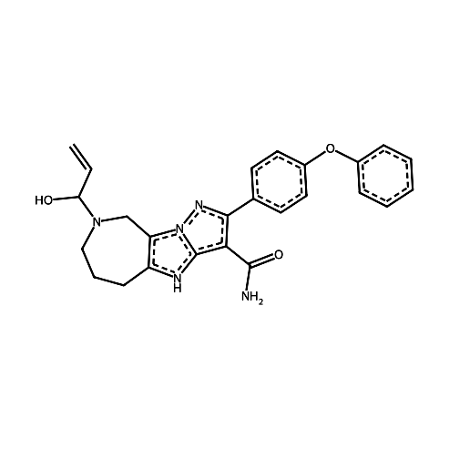 C=CC(O)N1CCCc2[nH]c3c(C(N)=O)c(-c4ccc(Oc5ccccc5)cc4)nn3c2C1